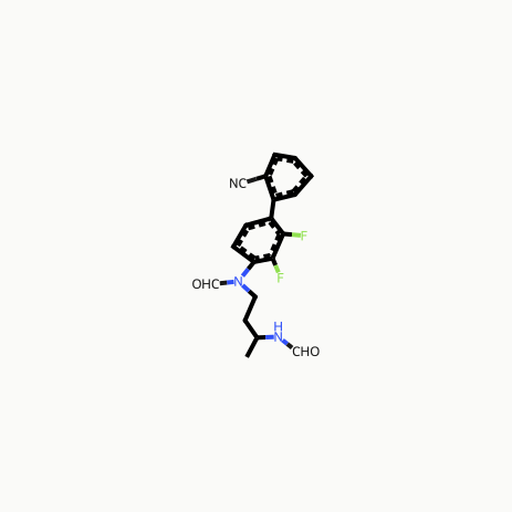 CC(CCN(C=O)c1ccc(-c2ccccc2C#N)c(F)c1F)NC=O